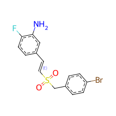 Nc1cc(/C=C/S(=O)(=O)Cc2ccc(Br)cc2)ccc1F